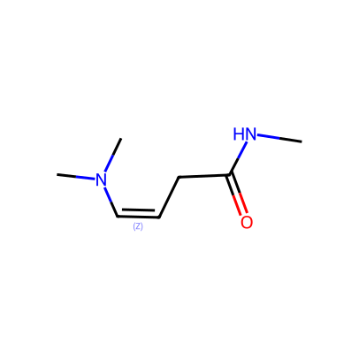 CNC(=O)C/C=C\N(C)C